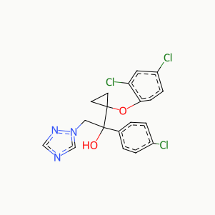 OC(Cn1cncn1)(c1ccc(Cl)cc1)C1(Oc2ccc(Cl)cc2Cl)CC1